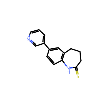 S=C1CCCc2cc(-c3cccnc3)ccc2N1